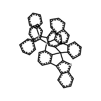 c1ccc(N(c2ccccc2)c2ccc3c(c2)C2(c4ccccc4-3)c3sc4ccccc4c3-c3cccc(N(c4ccccc4)c4cccc5ccccc45)c32)cc1